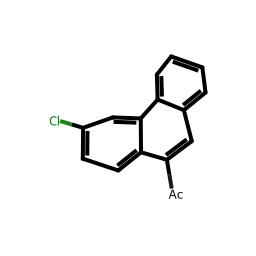 CC(=O)c1cc2ccccc2c2cc(Cl)ccc12